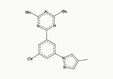 [C-]#[N+]c1cc(-c2nc(C(C)(C)C)nc(C(C)(C)C)n2)cc(-n2cc(C)cn2)c1